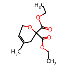 CCOC(=O)C1(C(=O)OCC)CC(C)=CCO1